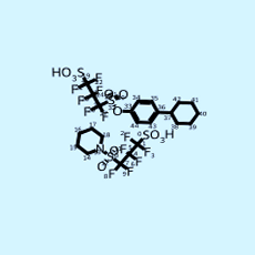 O=S(=O)(O)C(F)(F)C(F)(F)C(F)(F)S(=O)(=O)N1CCCCC1.O=S(=O)(O)C(F)(F)C(F)(F)C(F)(F)S(=O)(=O)Oc1ccc(C2CCCCC2)cc1